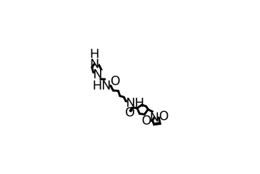 O=C(CCCCCNC(=O)C1CCC(CN2C(=O)C=CC2=O)CC1)NCCN1CCNCC1